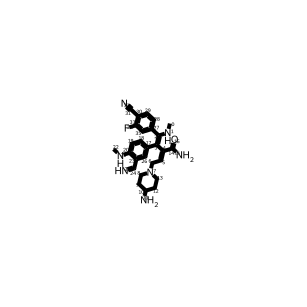 CN/C(=C(\C(=C/CN1CCC(N)CC1)C(N)=O)c1ccc(NC)c(C=N)c1)c1ccc(C#N)c(F)c1